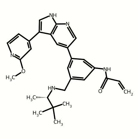 C=CC(=O)Nc1cc(CN[C@@H](C)C(C)(C)C)cc(-c2cnc3[nH]cc(-c4ccnc(OC)c4)c3c2)c1